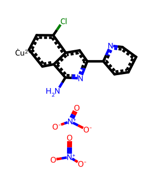 Nc1nc(-c2ccccn2)cc2c(Cl)cccc12.O=[N+]([O-])[O-].O=[N+]([O-])[O-].[Cu+2]